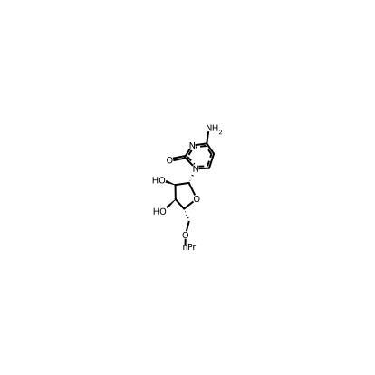 CCCOC[C@H]1O[C@@H](n2ccc(N)nc2=O)[C@H](O)[C@@H]1O